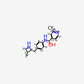 OC(Nc1ccc(C[C@@H]2NC[C@@H]2F)cc1)c1ccnc(C(F)(F)F)c1